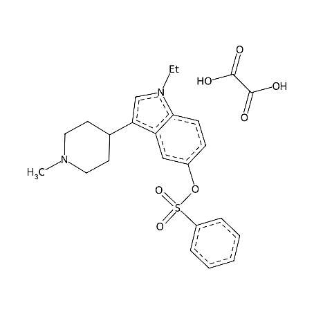 CCn1cc(C2CCN(C)CC2)c2cc(OS(=O)(=O)c3ccccc3)ccc21.O=C(O)C(=O)O